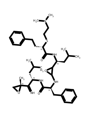 CC(C)C[C@H](NC(=O)[C@H](Cc1ccccc1)NC1OC1[C@H](CC(C)C)NC(=O)[C@H](CCc1ccccc1)SCCN(C)C)C(=N)[C@@]1(C)CO1